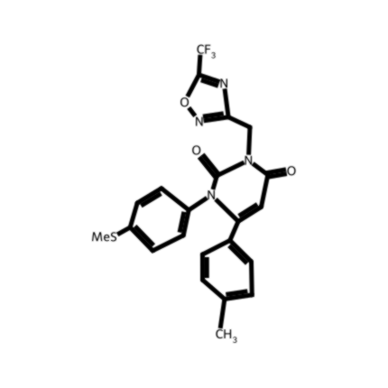 CSc1ccc(-n2c(-c3ccc(C)cc3)cc(=O)n(Cc3noc(C(F)(F)F)n3)c2=O)cc1